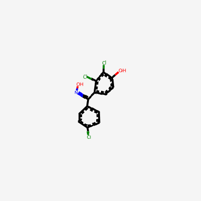 ON=C(c1ccc(Cl)cc1)c1ccc(O)c(Cl)c1Cl